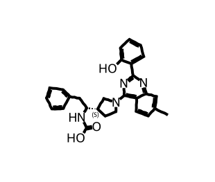 Cc1ccc2c(N3CC[C@H](C(Cc4ccccc4)NC(=O)O)C3)nc(-c3ccccc3O)nc2c1